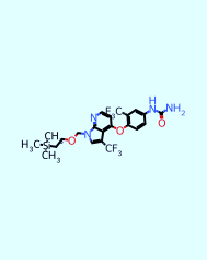 C[Si](C)(C)CCOCn1cc(C(F)(F)F)c2c(Oc3ccc(NC(N)=O)cc3C(F)(F)F)ccnc21